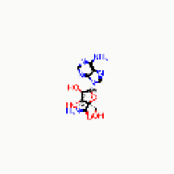 NC(=O)[C@]1(CO)O[C@@H](n2cnc3c(N)ncnc32)[C@H](O)[C@@H]1O